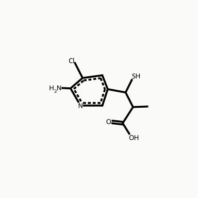 CC(C(=O)O)C(S)c1cnc(N)c(Cl)c1